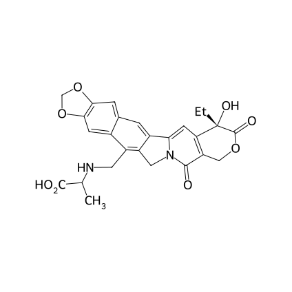 CC[C@@]1(O)C(=O)OCc2c1cc1n(c2=O)Cc2c-1cc1cc3c(cc1c2CNC(C)C(=O)O)OCO3